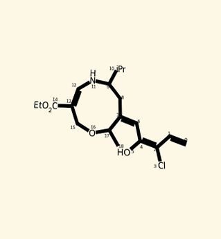 C=C/C(Cl)=C(O)\C=C1\CC(C(C)C)N/C=C(/C(=O)OCC)COC1C